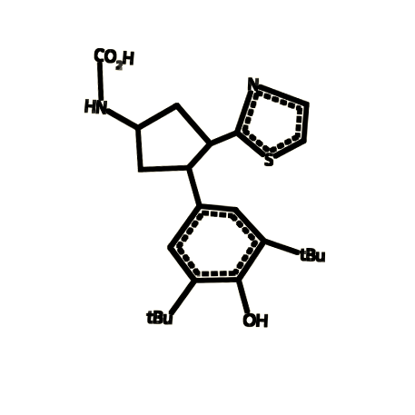 CC(C)(C)c1cc(C2CC(NC(=O)O)CC2c2nccs2)cc(C(C)(C)C)c1O